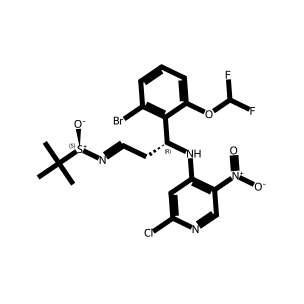 CC(C)(C)[S@@+]([O-])N=CC[C@@H](Nc1cc(Cl)ncc1[N+](=O)[O-])c1c(Br)cccc1OC(F)F